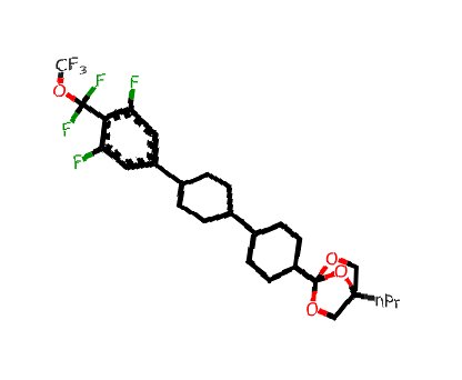 CCCC12COC(C3CCC(C4CCC(c5cc(F)c(C(F)(F)OC(F)(F)F)c(F)c5)CC4)CC3)(OC1)O2